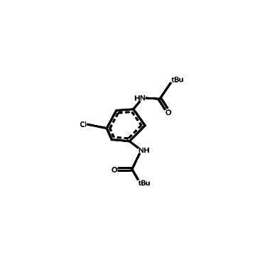 CC(C)(C)C(=O)Nc1cc(Cl)cc(NC(=O)C(C)(C)C)c1